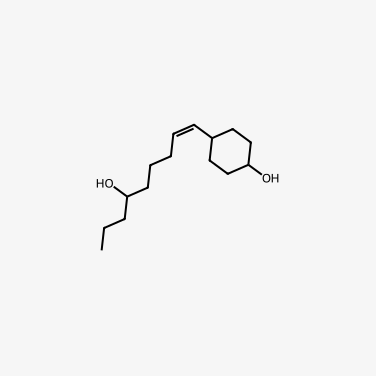 CCCC(O)CCC/C=C\C1CCC(O)CC1